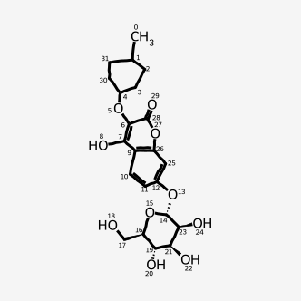 CC1CCC(Oc2c(O)c3ccc(O[C@H]4O[C@H](CO)[C@@H](O)[C@H](O)[C@@H]4O)cc3oc2=O)CC1